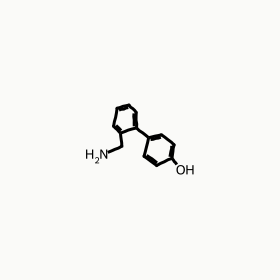 NCc1ccccc1-c1ccc(O)cc1